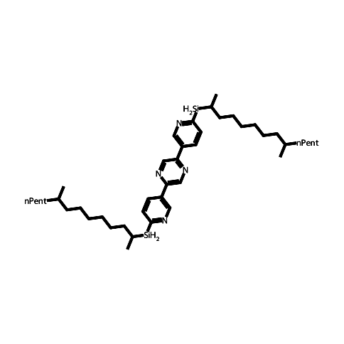 CCCCCC(C)CCCCCCC(C)[SiH2]c1ccc(-c2cnc(-c3ccc([SiH2]C(C)CCCCCCC(C)CCCCC)nc3)cn2)cn1